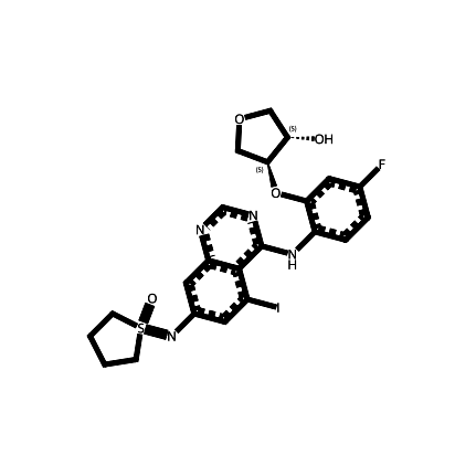 O=S1(=Nc2cc(I)c3c(Nc4ccc(F)cc4O[C@H]4COC[C@@H]4O)ncnc3c2)CCCC1